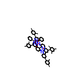 Cc1ccc(-c2ccc3c(c2)c2cc(-c4ccc(C)cc4C)ccc2n3-c2cccnc2-c2c(-c3nc(-c4ccccc4)nc(-c4ccccc4)n3)cccc2-n2c3ccc(-c4ccc(C)cc4C)cc3c3cc(-c4c(C)cc(C)cc4C)ccc32)c(C)c1